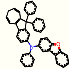 C1=CC2=C(C=CC1)C(c1ccccc1)(c1ccccc1)c1cc(N(c3ccccc3)c3ccc4oc5ccccc5c4c3)ccc12